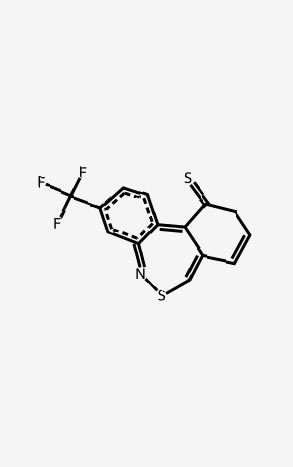 FC(F)(F)c1ccc2c(c1)=NSC=C1C=CCC(=S)C=21